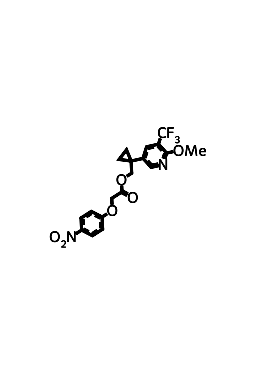 COc1ncc(C2(COC(=O)COc3ccc([N+](=O)[O-])cc3)CC2)cc1C(F)(F)F